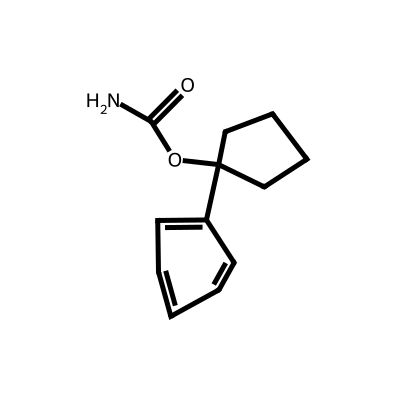 NC(=O)OC1(c2ccccc2)CCCC1